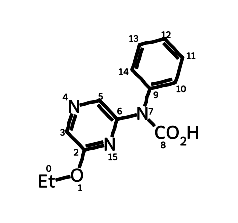 CCOc1cncc(N(C(=O)O)c2ccccc2)n1